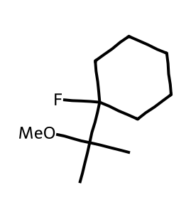 COC(C)(C)C1(F)CCCCC1